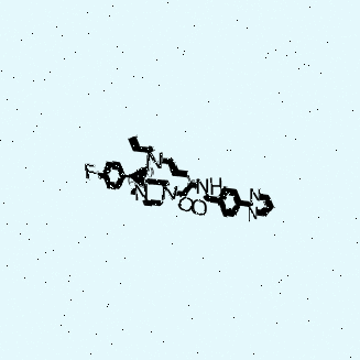 C=CCN(CCC[C@H](NC(=O)c1ccc(-c2ncccn2)cc1)C(=O)N1CCN(C)CC1)[C@@H]1C[C@H]1c1ccc(F)cc1